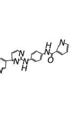 O=C(Nc1ccc(Nc2nccc(-c3cccnc3)n2)cc1)c1cccnc1